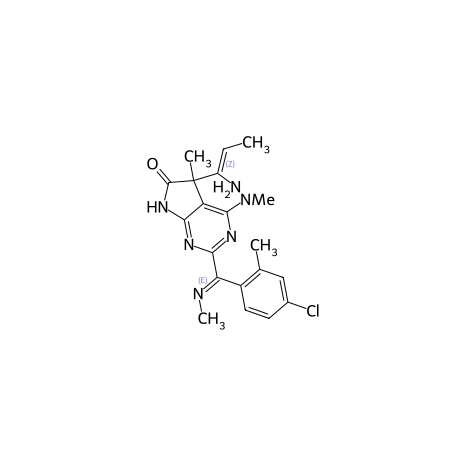 C/C=C(\N)C1(C)C(=O)Nc2nc(/C(=N/C)c3ccc(Cl)cc3C)nc(NC)c21